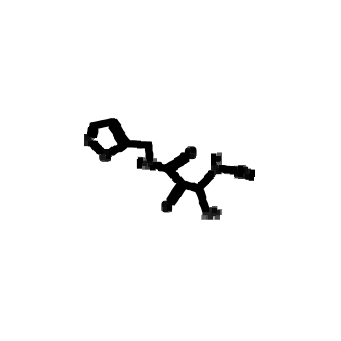 CCCC(NC(C)(C)C)C(=O)C(=O)NCc1ccno1